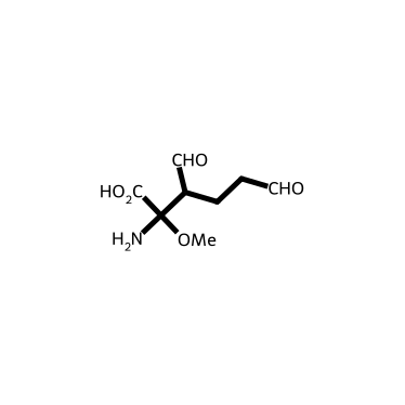 COC(N)(C(=O)O)C(C=O)CCC=O